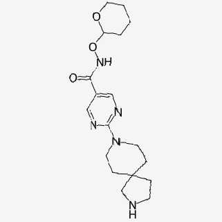 O=C(NOC1CCCCO1)c1cnc(N2CCC3(CCNC3)CC2)nc1